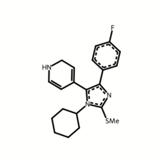 CSc1nc(-c2ccc(F)cc2)c(C2=CCNC=C2)n1C1CCCCC1